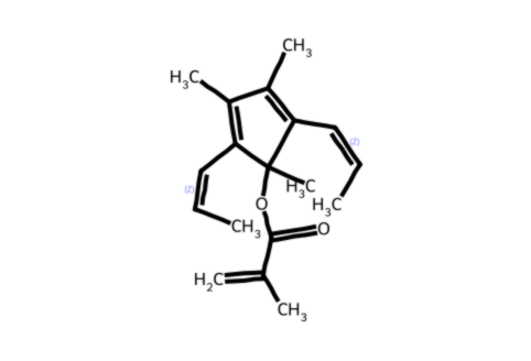 C=C(C)C(=O)OC1(C)C(/C=C\C)=C(C)C(C)=C1/C=C\C